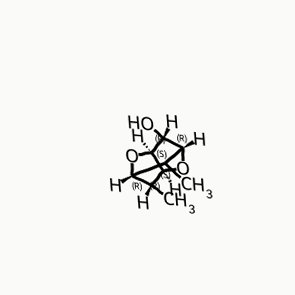 CC1[C@H]2O[C@H]3[C@H](O)[C@@H]1O[C@H]3[C@@H]2C